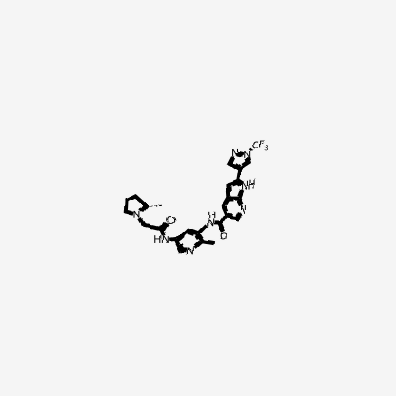 Cc1ncc(NC(=O)CN2CCC[C@@H]2C)cc1NC(=O)c1cnc2[nH]c(-c3cnn(C(F)(F)F)c3)cc2c1